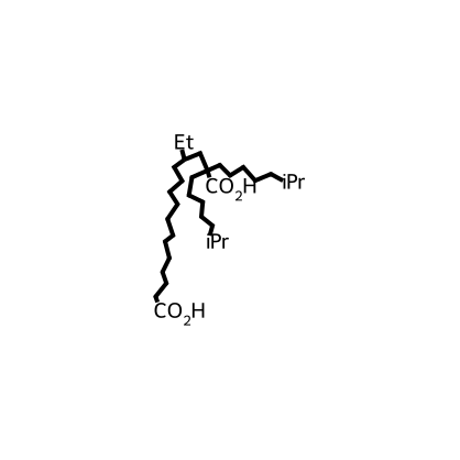 CCC(CCCCCCCCCCCC(=O)O)CC(CCCCCC(C)C)(CCCCCC(C)C)C(=O)O